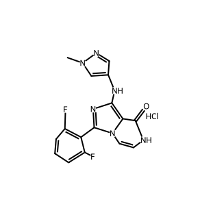 Cl.Cn1cc(Nc2nc(-c3c(F)cccc3F)n3cc[nH]c(=O)c23)cn1